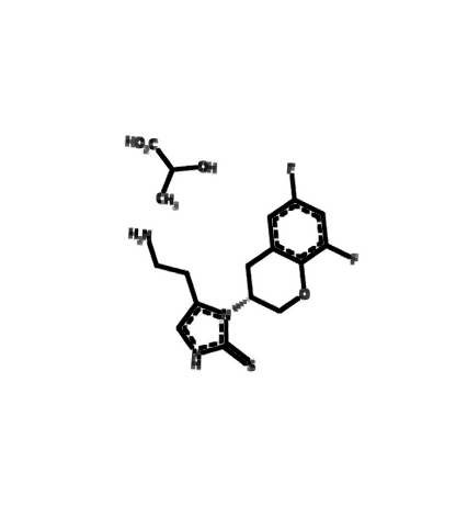 CC(O)C(=O)O.NCCc1c[nH]c(=S)n1[C@H]1COc2c(F)cc(F)cc2C1